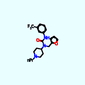 CCCN1CCC(N(Cc2ccco2)C(=O)Nc2cccc(C(F)(F)F)c2)CC1